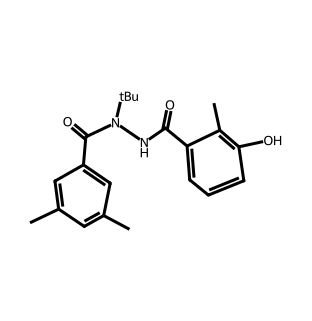 Cc1cc(C)cc(C(=O)N(NC(=O)c2cccc(O)c2C)C(C)(C)C)c1